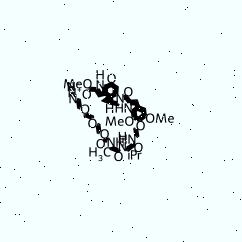 COC(=O)c1cc2c([nH]1)C(=O)C=C1N(C(=O)c3cc4cc(OC)c(OCCNC(=O)[C@@H](NC(=O)[C@H](C)NC(=O)OCCOCCOCCN=[N+]=[N-])C(C)C)c(OC)c4[nH]3)C[C@H]3CC123